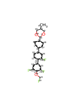 CC1COC(c2ccc(-c3ccc(-c4cc(F)c(OCF)c(F)c4)c(F)c3)cc2)OC1